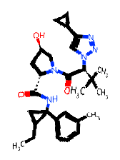 CCC1CC1(NC(=O)[C@@H]1C[C@@H](O)CN1C(=O)[C@@H](n1cc(C2CC2)nn1)C(C)(C)C)c1cccc(C)c1